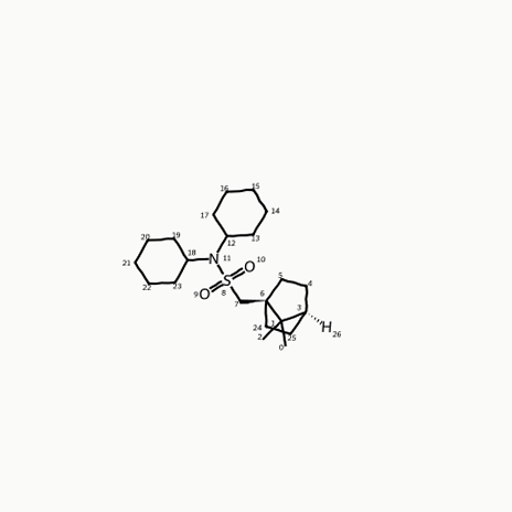 CC1(C)[C@H]2CC[C@@]1(CS(=O)(=O)N(C1CCCCC1)C1CCCCC1)CC2